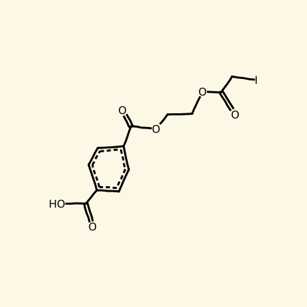 O=C(CI)OCCOC(=O)c1ccc(C(=O)O)cc1